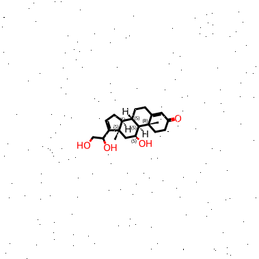 C[C@]12CCC(=O)C=C1CC[C@@H]1[C@@H]2[C@@H](O)C[C@]2(C)C(C(O)CO)=CC[C@@H]12